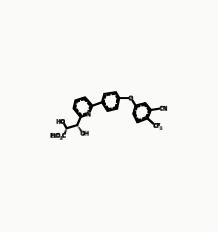 CCOC(=O)[C@H](O)[C@@H](O)c1cccc(-c2ccc(Oc3ccc(C(F)(F)F)c(C#N)c3)cc2)n1